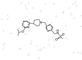 CC(C)Oc1cccc(C2CCN(Cc3ccc([C@@H](C)NS(C)(=O)=O)cc3)CC2)n1